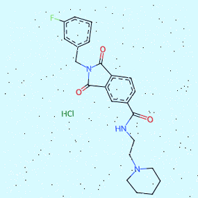 Cl.O=C(NCCN1CCCCC1)c1ccc2c(c1)C(=O)N(Cc1cccc(F)c1)C2=O